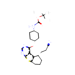 CC(C)(C)OC(=O)N[C@H]1CC[C@H](Oc2ncnc3sc4c(c23)[C@@H](CCC#N)CCC4)CC1